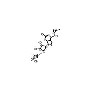 C[C@@H]1C[C@@H]1Nc1nc(Cl)nc2c1cnn2[C@@H]1O[C@H](COCP(=O)(O)O)[C@@H](O)[C@H]1O